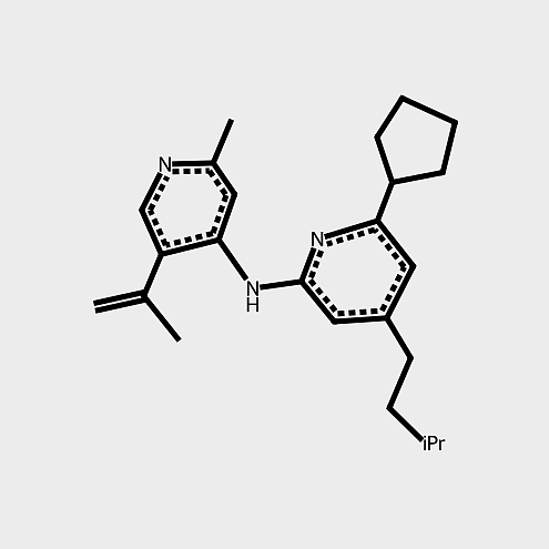 C=C(C)c1cnc(C)cc1Nc1cc(CCC(C)C)cc(C2CCCC2)n1